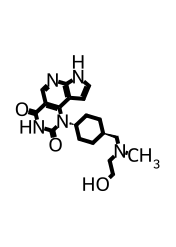 CN(CCO)C[C@H]1CC[C@H](n2c(=O)[nH]c(=O)c3cnc4[nH]ccc4c32)CC1